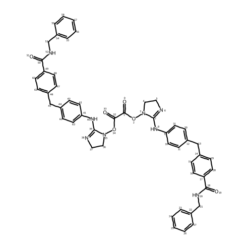 O=C(ON1CCN=C1Nc1ccc(Cc2ccc(C(=O)NCc3ccccc3)cc2)cc1)C(=O)ON1CCN=C1Nc1ccc(Cc2ccc(C(=O)NCc3ccccc3)cc2)cc1